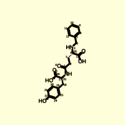 O=C(CC[C@H](NCc1ccccc1)C(=O)O)N[C@@H](Cc1ccc(O)cc1)C(=O)O